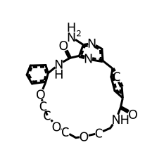 Nc1ncc2nc1C(=O)Nc1ccccc1OCCOCCOCCNC(=O)c1ccc-2cc1